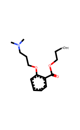 CCCCCCCCCCCCOC(=O)c1ccccc1OCCCN(C)C